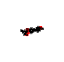 C=CCC(C(C)=O)C(=O)Oc1ccc(C=Cc2ccc(OC)cc2)cc1